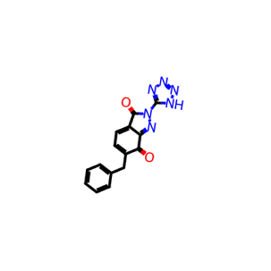 O=C1C(Cc2ccccc2)=CC=C2C(=O)N(c3nnn[nH]3)N=C12